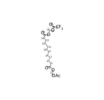 CC(=O)OCOC(=O)CCCCCCCCCCC(=O)OCOC(=O)C(F)(F)F